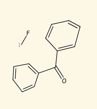 O=C(c1ccccc1)c1ccccc1.[C]F